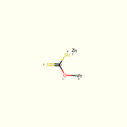 CCCOC(=S)S.[Zn]